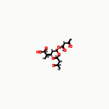 CC(=O)CC(=O)OC(CC=C(C)C(=O)O)OC(=O)CC(C)=O